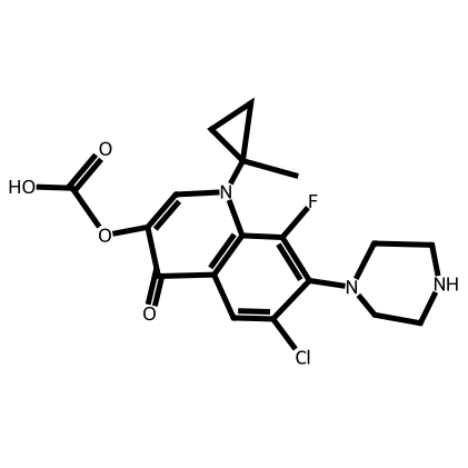 CC1(n2cc(OC(=O)O)c(=O)c3cc(Cl)c(N4CCNCC4)c(F)c32)CC1